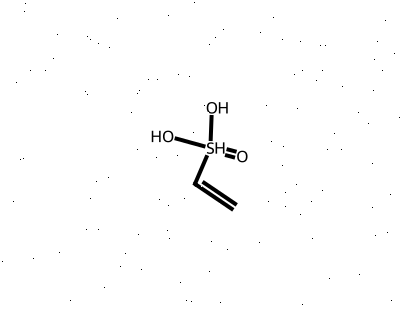 C=C[SH](=O)(O)O